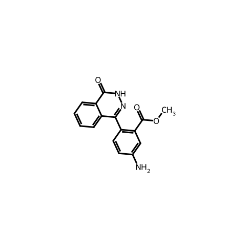 COC(=O)c1cc(N)ccc1-c1n[nH]c(=O)c2ccccc12